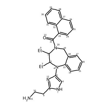 CCC1C(CC)N(c2c[nH]c(CCN)n2)c2ccccc2CN1C(=O)c1cccc2ccccc12